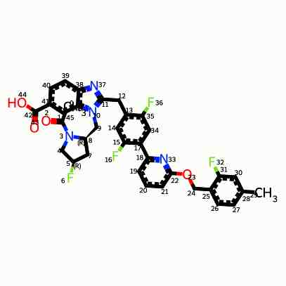 CC(=O)N1C[C@H](F)C[C@@H]1Cn1c(Cc2cc(F)c(-c3cccc(OCc4ccc(C)cc4F)n3)cc2F)nc2ccc(C(=O)O)cc21